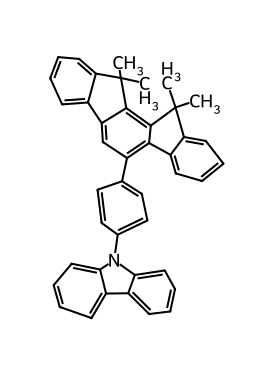 CC1(C)c2ccccc2-c2cc(-c3ccc(-n4c5ccccc5c5ccccc54)cc3)c3c(c21)C(C)(C)c1ccccc1-3